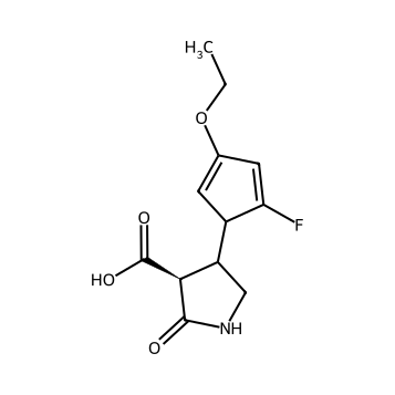 CCOC1=CC(C2CNC(=O)[C@H]2C(=O)O)C(F)=C1